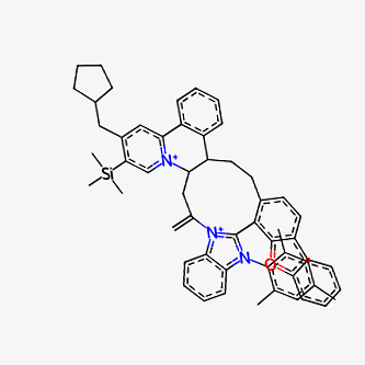 C=C1CC2C(CCc3ccc4c(oc5ccccc54)c3-c3n(-c4c(C)cc(C)cc4C)c4ccccc4[n+]31)c1ccccc1-c1cc(CC3CCCC3)c([Si](C)(C)C)c[n+]12